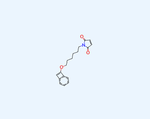 O=C1C=CC(=O)N1CCCCCCOC1=Cc2ccccc21